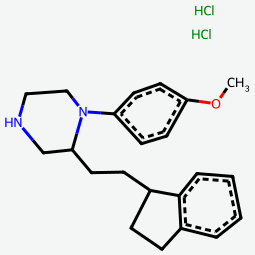 COc1ccc(N2CCNCC2CCC2CCc3ccccc32)cc1.Cl.Cl